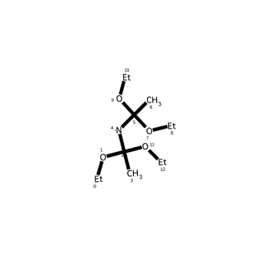 CCOC(C)([N]C(C)(OCC)OCC)OCC